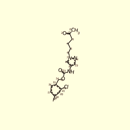 CC(=O)CCCCn1cc(NC(=O)OCc2ccc(F)cc2Cl)cn1